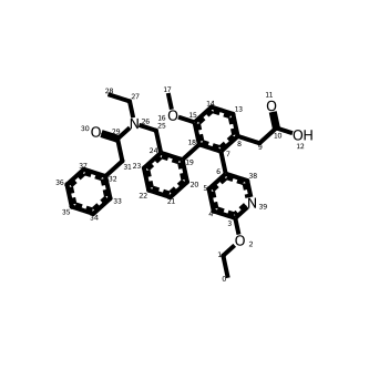 CCOc1ccc(-c2c(CC(=O)O)ccc(OC)c2-c2ccccc2CN(CC)C(=O)Cc2ccccc2)cn1